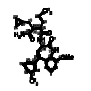 COc1cccc2c1NC(=O)[C@@H](NC(=O)[C@H](CCC(F)(F)F)[C@H](CC1CC1)C(N)=O)N=C2c1cccc(C(F)(F)F)c1